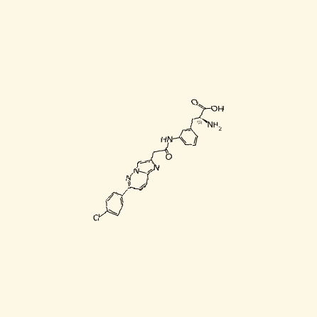 N[C@@H](Cc1cccc(NC(=O)Cc2cn3nc(-c4ccc(Cl)cc4)ccc3n2)c1)C(=O)O